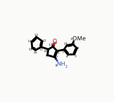 COc1cccc(C2=C(N)CC(c3ccccc3)C2=O)c1